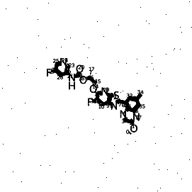 COc1cnc2c(-c3nc4cc(F)c(OC[C@@H](C)OC(=O)Nc5cncc(F)c5)nc4s3)cc(C)cc2n1